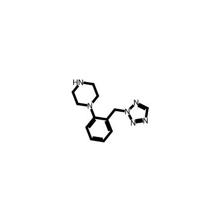 c1ccc(N2CCNCC2)c(Cn2ncnn2)c1